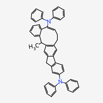 CC1c2cc3c(cc2CC/C=C(/N(c2ccccc2)c2ccccc2)c2ccccc21)-c1ccc(N(c2ccccc2)c2ccccc2)cc1C3